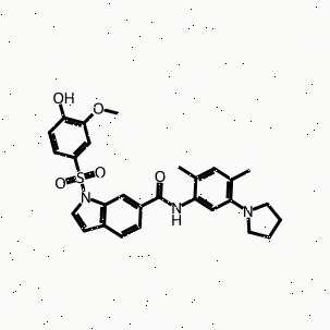 COc1cc(S(=O)(=O)n2ccc3ccc(C(=O)Nc4cc(N5CCCC5)c(C)cc4C)cc32)ccc1O